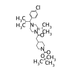 CC(C)C(c1ccc(Cl)cc1)N1CCN(C(=O)CC2CCN(C(=O)OC(C)(C)C)CC2)[C@@H](C(C)C)C1